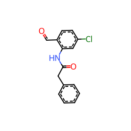 O=Cc1ccc(Cl)cc1NC(=O)Cc1ccccc1